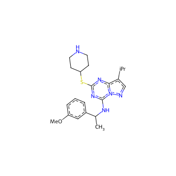 COc1cccc(C(C)Nc2nc(SC3CCNCC3)nc3c(C(C)C)cnn23)c1